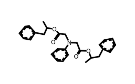 CC(Cc1ccccc1)OC(=O)CN(CC(=O)OC(C)Cc1ccccc1)c1ccccc1